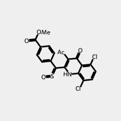 COC(=O)c1ccc(C(=S=O)c2[nH]c3c(Cl)ccc(Cl)c3c(=O)c2C(C)=O)cc1